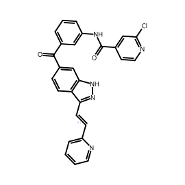 O=C(Nc1cccc(C(=O)c2ccc3c(/C=C/c4ccccn4)n[nH]c3c2)c1)c1ccnc(Cl)c1